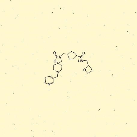 O=C1OC2(CCN(Cc3cccnc3)CC2)CN1C[C@H]1CC[C@H](C(=O)NCC2CCCO2)CC1